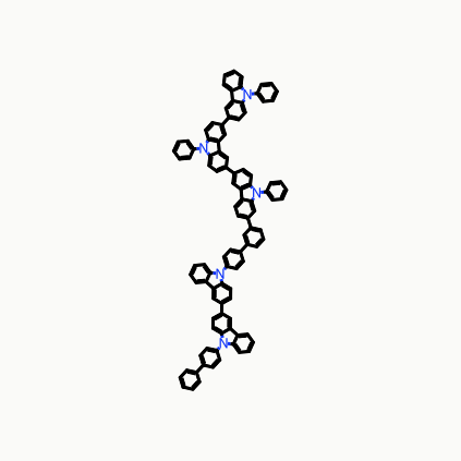 c1ccc(-c2ccc(-n3c4ccccc4c4cc(-c5ccc6c(c5)c5ccccc5n6-c5ccc(-c6cccc(-c7ccc8c9cc(-c%10ccc%11c(c%10)c%10cc(-c%12ccc%13c(c%12)c%12ccccc%12n%13-c%12ccccc%12)ccc%10n%11-c%10ccccc%10)ccc9n(-c9ccccc9)c8c7)c6)cc5)ccc43)cc2)cc1